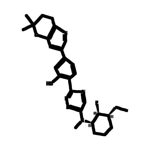 CC[C@@H]1CCC[C@H](N(C)c2cnc(-c3ccc(-c4cnc5c(c4)OC(C)(C)CC5)cc3O)nn2)[C@@H]1F